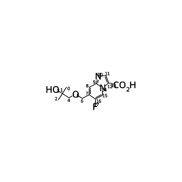 CC(C)(O)COCc1cc2ncc(C(=O)O)n2cc1F